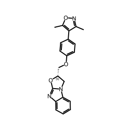 Cc1noc(C)c1-c1ccc(OC[C@@H]2Cn3c(nc4ccccc43)O2)cc1